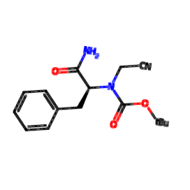 CC(C)(C)OC(=O)N(CC#N)[C@@H](Cc1ccccc1)C(N)=O